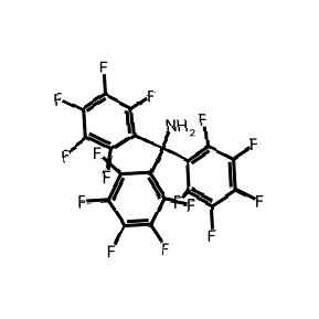 NC(c1c(F)c(F)c(F)c(F)c1F)(c1c(F)c(F)c(F)c(F)c1F)c1c(F)c(F)c(F)c(F)c1F